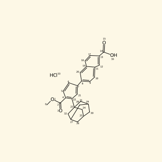 COC(=O)c1ccc(-c2ccc3cc(C(=O)O)ccc3c2)cc1C12CC3CC(CC(C3)C1)C2.Cl